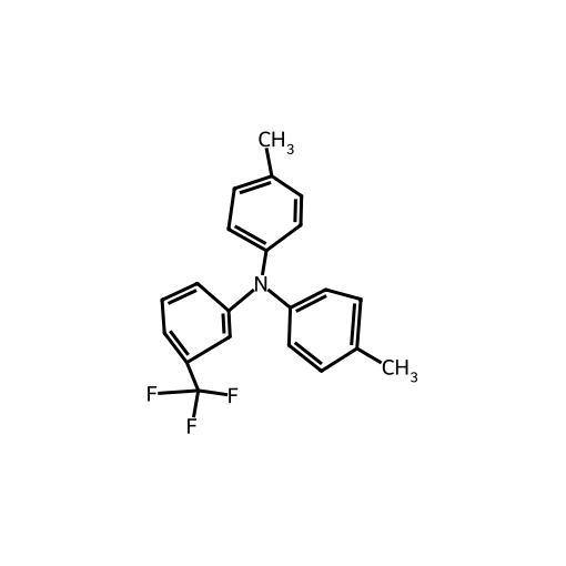 Cc1ccc(N(c2ccc(C)cc2)c2cccc(C(F)(F)F)c2)cc1